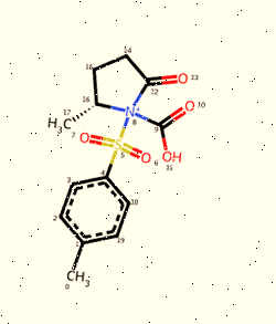 Cc1ccc(S(=O)(=O)[N+]2(C(=O)O)C(=O)CC[C@H]2C)cc1